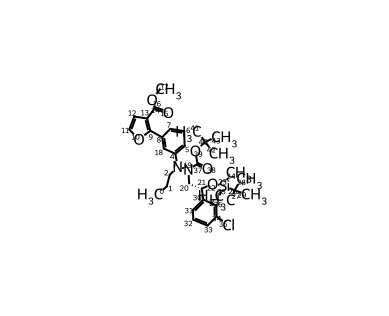 CCCN(c1cccc(-c2occc2C(=O)OC)c1)N(C[C@H](O[Si](C)(C)C(C)(C)C)c1cccc(Cl)c1)C(=O)OC(C)(C)C